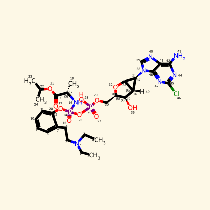 CCN(CC)CCc1ccccc1OP(=O)(N[C@@H](C)C(=O)OC(C)C)OP(=O)(O)OC[C@H]1OC2[C@@H]([C@H]1O)[C@@H]2n1cnc2c(N)nc(Cl)nc21